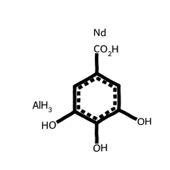 O=C(O)c1cc(O)c(O)c(O)c1.[AlH3].[Nd]